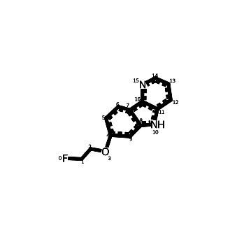 FCCOc1ccc2c(c1)[nH]c1cccnc12